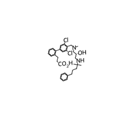 CN(Cc1c(Cl)cc(-c2ccccc2CCC(=O)O)cc1Cl)C[C@H](O)CNC(C)(C)CCCc1ccccc1